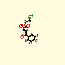 O=C(/C=C/S(=O)(=O)CCCl)c1ccccc1